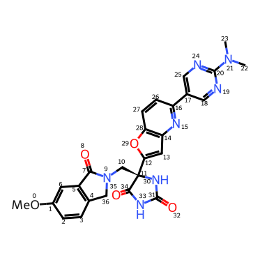 COc1ccc2c(c1)C(=O)N(C[C@@]1(c3cc4nc(-c5cnc(N(C)C)nc5)ccc4o3)NC(=O)NC1=O)C2